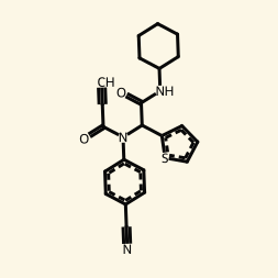 C#CC(=O)N(c1ccc(C#N)cc1)C(C(=O)NC1CCCCC1)c1cccs1